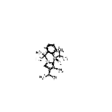 CC(C)c1cn2c([n+]1N)P(=O)(C(C)C)c1ccccc1C2(C)C